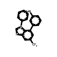 CNc1cccc(-c2cc(C(F)(F)F)cc3ncn(-c4ccccc4)c23)c1